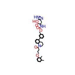 Cc1cccc(OCCCC(=O)N2CCCc3c(-c4cccc(COC(=O)N[C@H](Cc5c[nH]cn5)C(=O)O)c4)cccc32)c1C